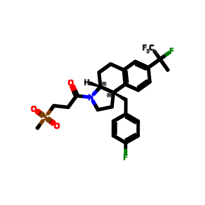 CC(F)(c1ccc2c(c1)CC[C@H]1N(C(=O)CCS(C)(=O)=O)CC[C@@]21Cc1ccc(F)cc1)C(F)(F)F